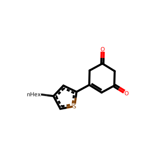 CCCCCCc1csc(C2=CC(=O)CC(=O)C2)c1